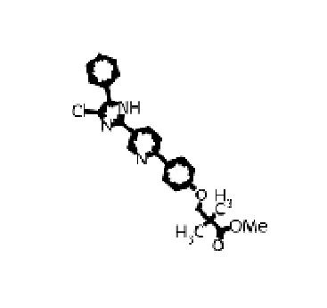 COC(=O)C(C)(C)COc1ccc(-c2ccc(-c3nc(Cl)c(-c4ccccc4)[nH]3)cn2)cc1